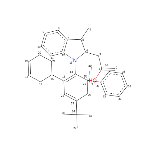 C=C(O)CC1C(C)c2ccccc2N1C1=C(C2CC=CCC2)C=C(C(C)(C)C)C[C@]1(C)c1ccccc1